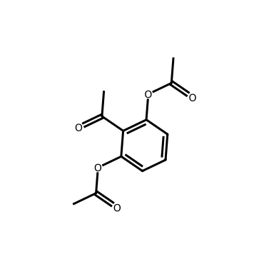 CC(=O)Oc1cccc(OC(C)=O)c1C(C)=O